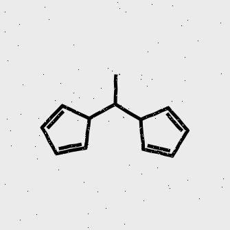 [CH2]C(C1C=CC=C1)C1C=CC=C1